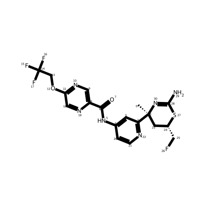 C[C@@]1(c2cc(NC(=O)c3cnc(OCC(F)(F)F)cn3)ccn2)C[C@@H](CF)SC(N)=N1